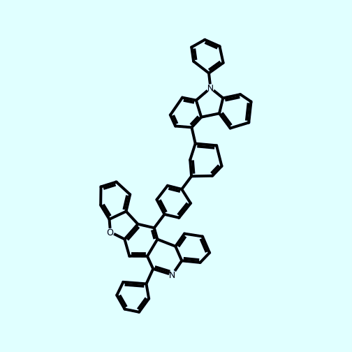 c1ccc(-c2nc3ccccc3c3c(-c4ccc(-c5cccc(-c6cccc7c6c6ccccc6n7-c6ccccc6)c5)cc4)c4c(cc23)oc2ccccc24)cc1